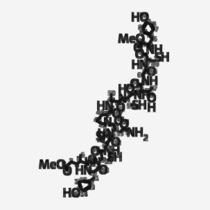 COC(=O)CCC(C)C(=O)N[C@@H](Cc1ccc(O)cc1)C(=O)N[C@@H](CS)C(=O)N[C@@H](CS)C(=O)N[C@@H](CC(N)=O)C(=O)N1CCC[C@H]1C(=O)NC(C)C(=O)N[C@@H](CS)C(=O)N[C@H](C(=O)NCC(=O)NC(CS)C(=O)NC(Cc1ccc(O)cc1)C(=O)OC)[C@@H](C)O